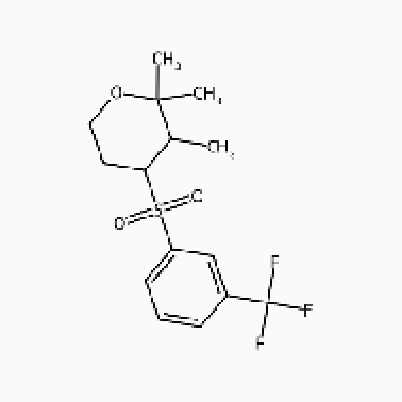 CC1C(S(=O)(=O)c2cccc(C(F)(F)F)c2)CCOC1(C)C